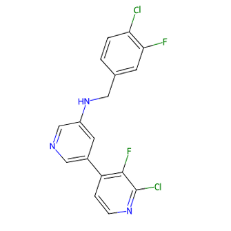 Fc1cc(CNc2cncc(-c3ccnc(Cl)c3F)c2)ccc1Cl